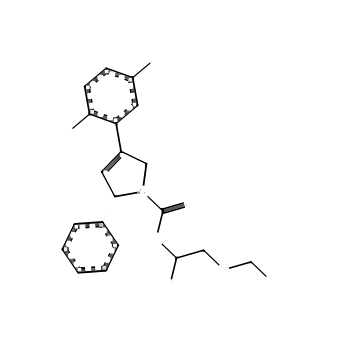 CCNCC(C)OC(=O)N1CC(c2cc(F)ccc2F)=C[C@H]1c1ccccc1